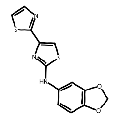 c1csc(-c2csc(Nc3ccc4c(c3)OCO4)n2)n1